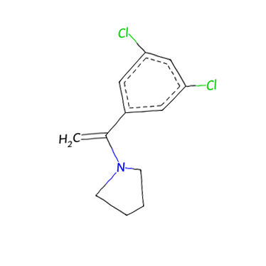 C=C(c1cc(Cl)cc(Cl)c1)N1CCCC1